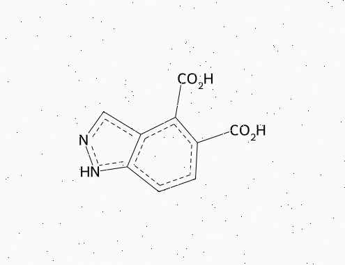 O=C(O)c1ccc2[nH]ncc2c1C(=O)O